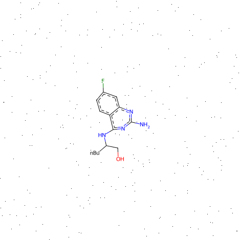 CCCCC(CO)Nc1nc(N)nc2cc(F)ccc12